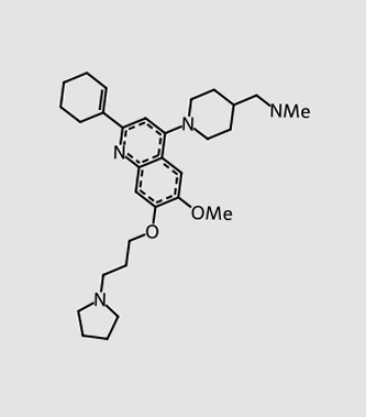 CNCC1CCN(c2cc(C3=CCCCC3)nc3cc(OCCCN4CCCC4)c(OC)cc23)CC1